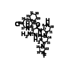 NC(N)C(C(=O)NC1CNCCC1N1CCC(N2CC[C@H](F)C2)CC1)C1CC2(CCCCC2)CCC(Cl)CN1